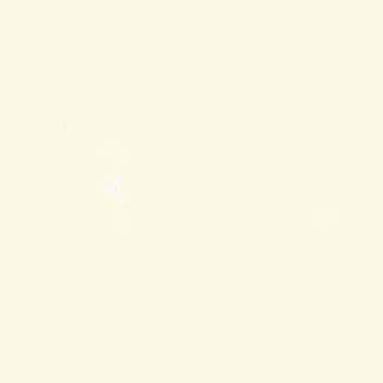 CC(C)c1cccc(C(C)C)c1N1C(=O)c2ccc3c4ccc(-c5ccco5)c5cccc(c6ccc(c2c36)C1O)c54